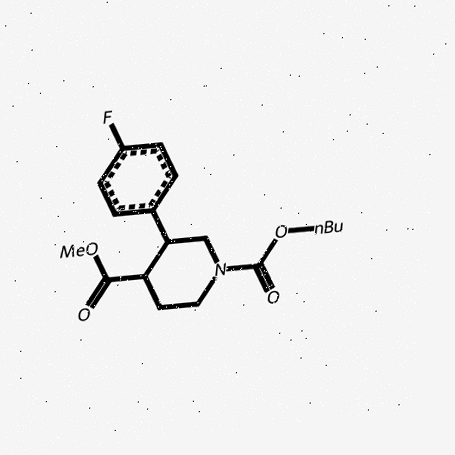 CCCCOC(=O)N1CCC(C(=O)OC)C(c2ccc(F)cc2)C1